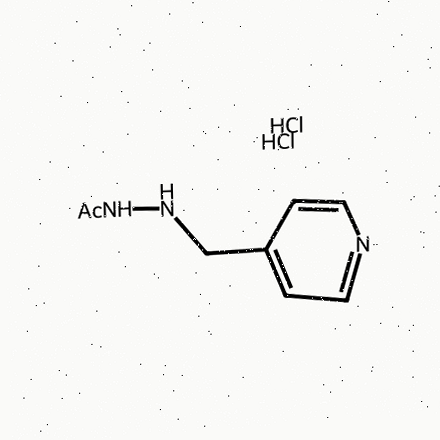 CC(=O)NNCc1ccncc1.Cl.Cl